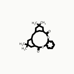 CC1(C)CC2CC3CC(CC(C)(C)C3)C(=O)Oc3ccccc3OC(=O)C(C2)C1